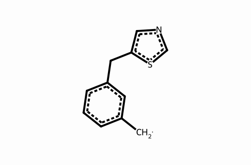 [CH2]c1cccc(Cc2cncs2)c1